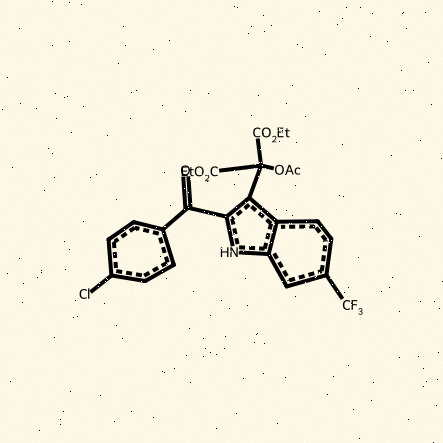 CCOC(=O)C(OC(C)=O)(C(=O)OCC)c1c(C(=O)c2ccc(Cl)cc2)[nH]c2cc(C(F)(F)F)ccc12